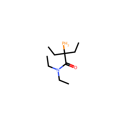 CCN(CC)C(=O)C(P)(CC)CC